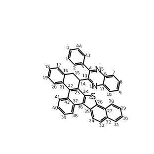 c1ccc(-c2nc3ccccc3nc2C2Cc3ccccc3-c3c2c2sc4c5ccccc5ccc4c2c2ccccc32)cc1